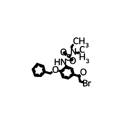 CCN(CC)S(=O)(=O)Nc1cc(C(=O)CBr)ccc1OCc1ccccc1